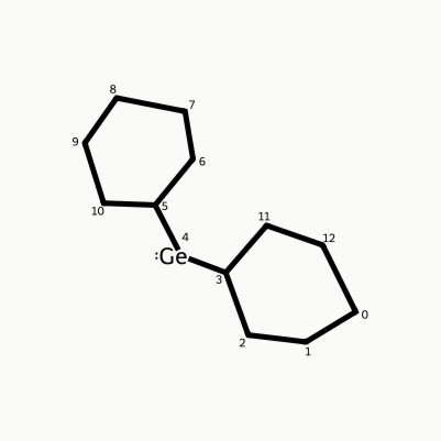 C1CC[CH]([Ge][CH]2CCCCC2)CC1